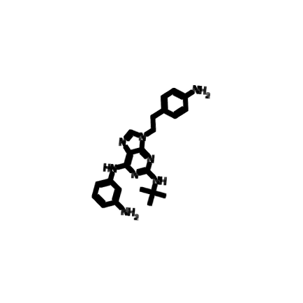 CC(C)(C)Nc1nc(Nc2cccc(N)c2)c2ncn(CCc3ccc(N)cc3)c2n1